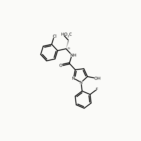 O=C(O)C[C@H](NC(=O)c1cc(O)n(-c2ccccc2F)n1)c1ccccc1Cl